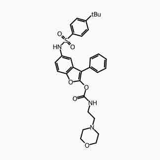 CC(C)(C)c1ccc(S(=O)(=O)Nc2ccc3oc(OC(=O)NCCN4CCOCC4)c(-c4ccccc4)c3c2)cc1